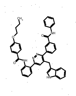 CCCCOc1ccc(C(=O)Nc2ccccc2-c2cc(Cc3c[nH]c4ccccc34)c(-c3cccc(C(=O)Nc4ccccc4)c3)nn2)cc1